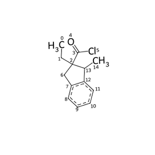 CCC1(C(=O)Cl)Cc2ccccc2C1C